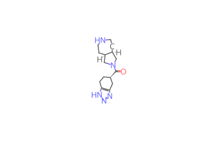 O=C([C@@H]1CCc2[nH]nnc2C1)N1C[C@H]2CCNCC[C@H]2C1